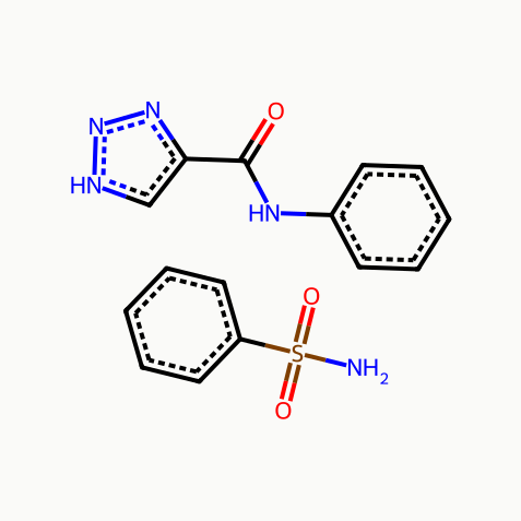 NS(=O)(=O)c1ccccc1.O=C(Nc1ccccc1)c1c[nH]nn1